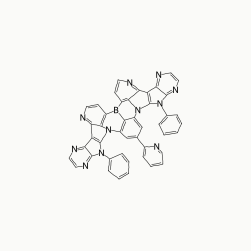 c1ccc(-n2c3nccnc3c3c4nccc5c4n(c32)-c2cc(-c3ccccn3)cc3c2B5c2ccnc4c5c6nccnc6n(-c6ccccc6)c5n-3c24)cc1